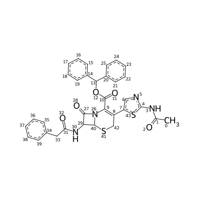 CC(=O)Nc1ncc(C2=C(C(=O)OC(c3ccccc3)c3ccccc3)N3C(=O)C(NC(=O)Cc4ccccc4)C3SC2)s1